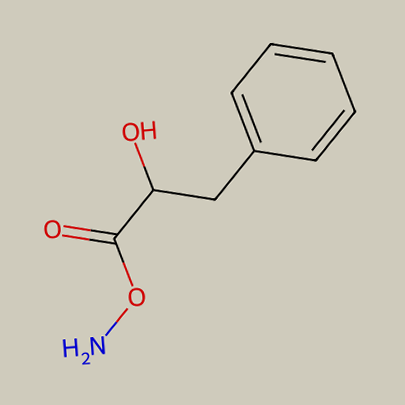 NOC(=O)C(O)Cc1ccccc1